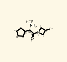 Cl.N[C@H](C(=O)N1CC(F)C1)C1CCCC1